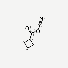 N#COC(=O)C1CCC1